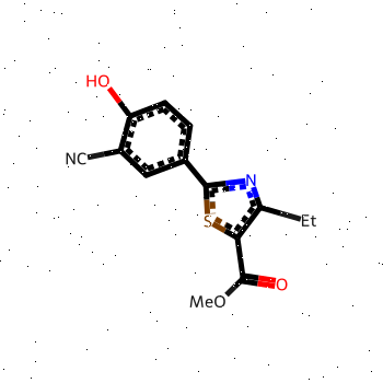 CCc1nc(-c2ccc(O)c(C#N)c2)sc1C(=O)OC